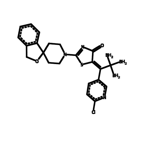 BC(B)(B)/C(=C1/SC(N2CCC3(CC2)OCc2ccccc23)=NC1=O)c1ccc(Cl)nc1